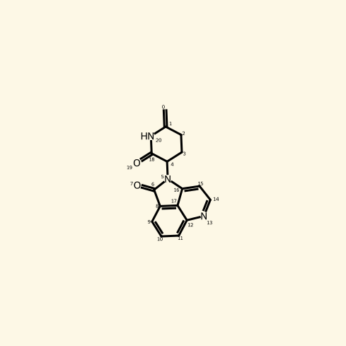 C=C1CCC(N2C(=O)c3cccc4nccc2c34)C(=O)N1